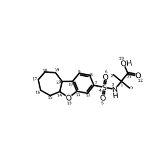 CC(C)(NS(=O)(=O)c1ccc2c(c1)OC1CCCCCC21)C(=O)O